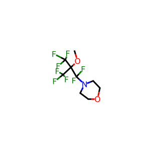 COC(C(F)(F)F)(C(F)(F)F)C(F)(F)N1CCOCC1